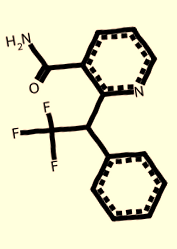 NC(=O)c1cccnc1C(c1ccccc1)C(F)(F)F